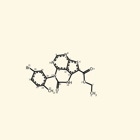 CCOC(=O)c1sc2ncnc3c2c1NC(=O)N3c1cc(Br)ccc1C